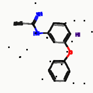 CSC(=N)Nc1cccc(Oc2ccccc2)c1.I